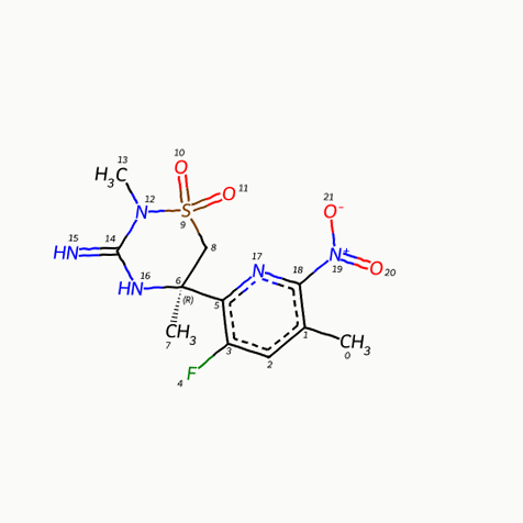 Cc1cc(F)c([C@]2(C)CS(=O)(=O)N(C)C(=N)N2)nc1[N+](=O)[O-]